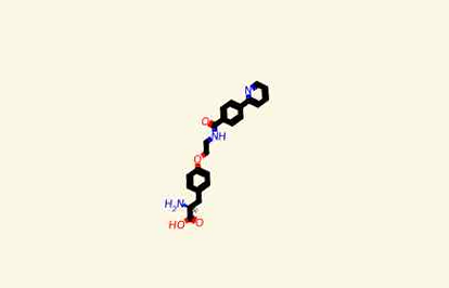 N[C@@H](Cc1ccc(OCCNC(=O)c2ccc(-c3ccccn3)cc2)cc1)C(=O)O